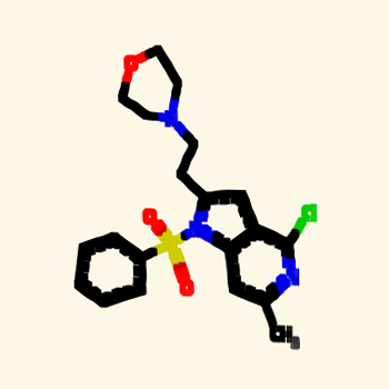 Cc1cc2c(cc(CCN3CCOCC3)n2S(=O)(=O)c2ccccc2)c(Cl)n1